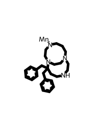 [Mn][N]1CCCN2CCNCCC(Cc3ccccc3)(Cc3ccccc3)N(CC1)CC2